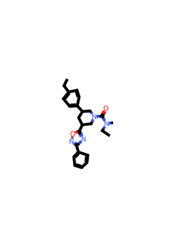 CCc1ccc(C2CC(c3nc(-c4ccccc4)no3)CN(C(=O)N(C)CC)C2)cc1